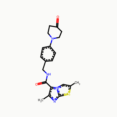 Cc1cn2c(C(=O)NCc3ccc(N4CCC(=O)CC4)cc3)c(C)nc2s1